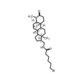 CN1C(=O)CC[C@]2(C)[C@H]3CC[C@]4(C)[C@@H](CNC(=O)CCCCCBr)CC[C@H]4[C@@H]3CC[C@@H]12